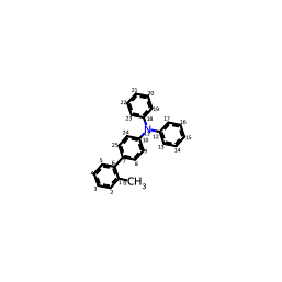 Cc1ccccc1-c1ccc(N(c2ccccc2)c2ccccc2)cc1